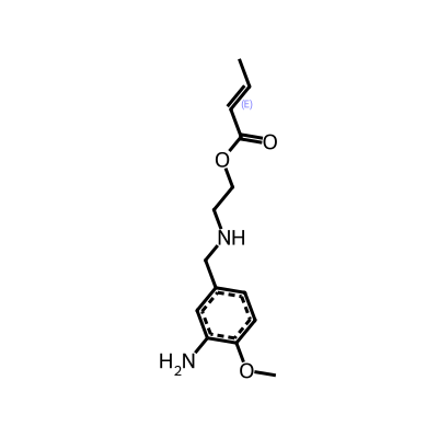 C/C=C/C(=O)OCCNCc1ccc(OC)c(N)c1